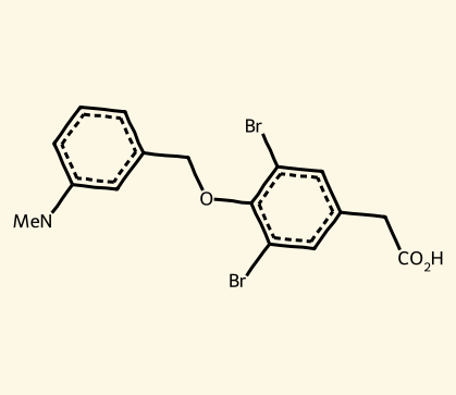 CNc1cccc(COc2c(Br)cc(CC(=O)O)cc2Br)c1